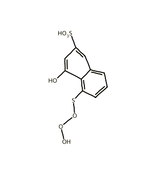 O=S(=O)(O)c1cc(O)c2c(SOOO)cccc2c1